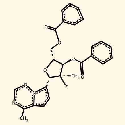 Cc1ncnn2c([C@@H]3O[C@H](COC(=O)c4ccccc4)[C@@H](OC(=O)c4ccccc4)[C@@]3(C)F)ccc12